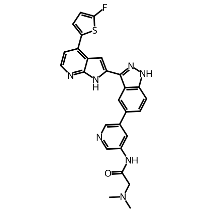 CN(C)CC(=O)Nc1cncc(-c2ccc3[nH]nc(-c4cc5c(-c6ccc(F)s6)ccnc5[nH]4)c3c2)c1